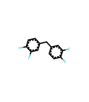 Fc1ccc([CH]c2ccc(F)c(F)c2)cc1F